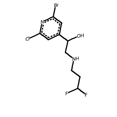 OC(CNCCC(F)F)c1cc(Cl)nc(Br)c1